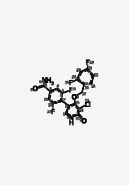 NC(=O)c1cc(F)c(-c2c[nH]c(=O)c(Cl)c2OCc2ccc(F)cc2F)c(F)c1